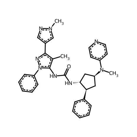 Cc1c(-c2cnn(C)c2)nn(-c2ccccc2)c1NC(=O)N[C@@H]1C[C@@H](N(C)c2ccncc2)C[C@H]1c1ccccc1